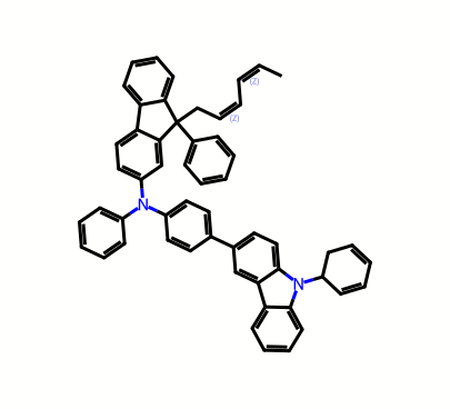 C/C=C\C=C/CC1(c2ccccc2)c2ccccc2-c2ccc(N(c3ccccc3)c3ccc(-c4ccc5c(c4)c4ccccc4n5C4C=CC=CC4)cc3)cc21